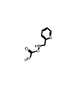 CCCC(=O)ONCc1ccccn1